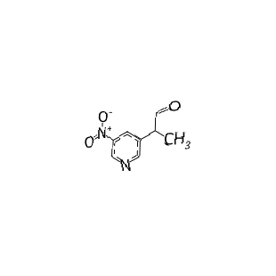 CC(C=O)c1cncc([N+](=O)[O-])c1